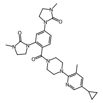 Cc1cc(C2CC2)cnc1N1CCN(C(=O)c2ccc(N3CCN(C)C3=O)cc2N2CCN(C)C2=O)CC1